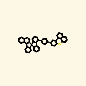 c1ccc2c(c1)-c1c(-c3ccc(-c4ccc5c(c4)-c4cccc6cccc(c46)S5)cc3)cccc1C21c2ccccc2-c2c1ccc1ccccc21